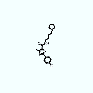 Cc1nc(-c2ccc(Cl)cc2)sc1C(=O)NCCCCN1CCCC1